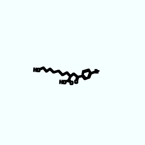 O=C(CC(CCCCCCCO)C(=O)O)c1ccc(Br)cc1